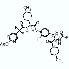 CCC(=O)N[C@@H](C(=O)N1CCN(C)CC1)[C@@H](C)c1ccc(NC(=O)[C@@H](NC(=O)C(F)(F)c2cnc(OC)nc2)[C@H]2CC[C@H](C)CC2)c(F)c1